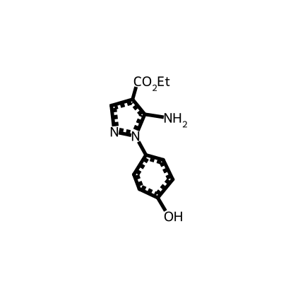 CCOC(=O)c1cnn(-c2ccc(O)cc2)c1N